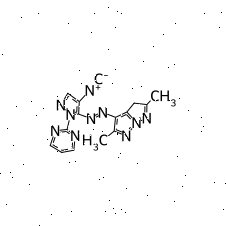 [C-]#[N+]c1cnn(-c2ncccn2)c1/N=N/c1c(C)nn2c1CC(C)=N2